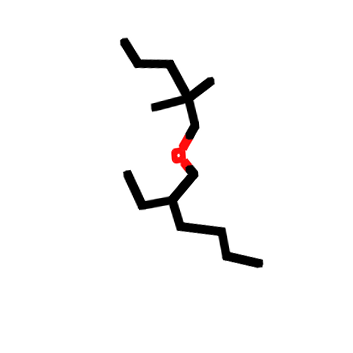 CCCCC(CC)COCC(C)(C)CCC